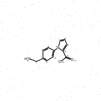 NCc1ccc(-n2cccc2C(=O)Cl)cc1